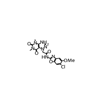 C=NN(CC(=O)Nc1nc2cc(OC)c(Cl)cc2o1)c1c(N)n(C)c(=O)n(C)c1=O